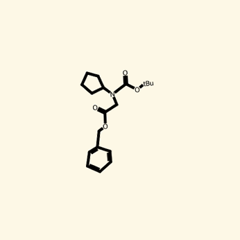 CC(C)(C)OC(=O)N(CC(=O)OCc1ccccc1)C1CCCC1